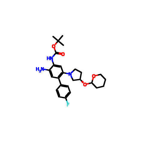 CC(C)(C)OC(=O)Nc1cc(N2CC[C@@H](OC3CCCCO3)C2)c(-c2ccc(F)cc2)cc1N